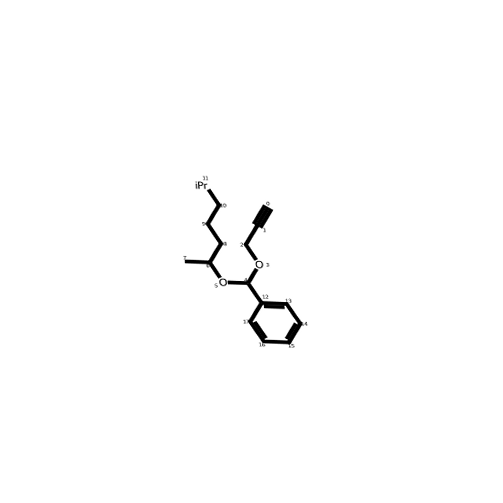 C#CCOC(OC(C)CCCC(C)C)c1ccccc1